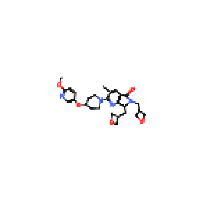 COc1ccc(OC2CCN(c3nc4c(cc3C)C(=O)N(CC3COC3)C4CC3COC3)CC2)cn1